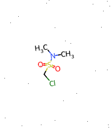 CN(C)S(=O)(=O)CCl